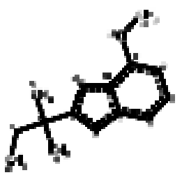 CCC(C)(C)c1cc2cccc(OC)c2s1